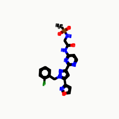 CS(=O)(=O)NCC(=O)Nc1ccnc(-c2cc(-c3ccon3)n(Cc3ccccc3F)n2)n1